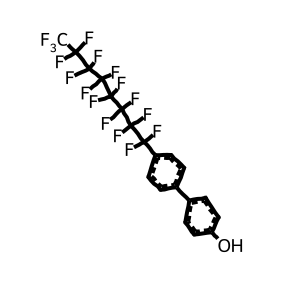 Oc1ccc(-c2ccc(C(F)(F)C(F)(F)C(F)(F)C(F)(F)C(F)(F)C(F)(F)C(F)(F)C(F)(F)F)cc2)cc1